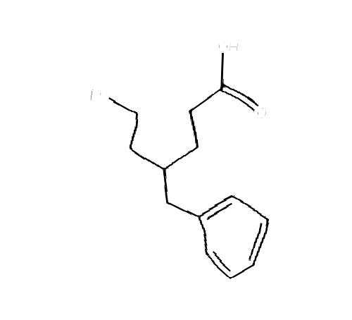 CCCC(CCC(=O)O)Cc1ccccc1